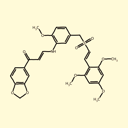 COc1cc(OC)c(C=CS(=O)(=O)Cc2ccc(OC)c(NC=CC(=O)c3ccc4c(c3)OCO4)c2)c(OC)c1